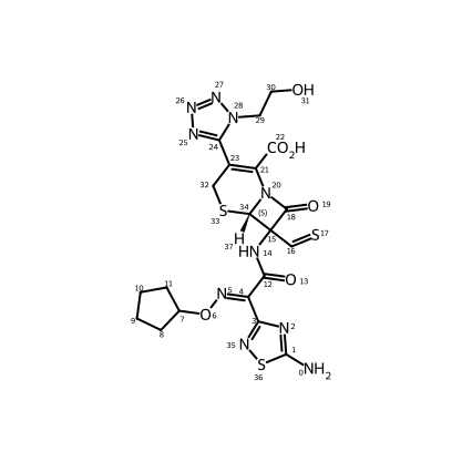 Nc1nc(C(=NOC2CCCC2)C(=O)NC2(C=S)C(=O)N3C(C(=O)O)=C(c4nnnn4CCO)CS[C@H]32)ns1